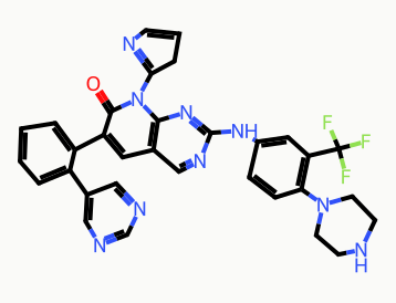 O=c1c(-c2ccccc2-c2cncnc2)cc2cnc(Nc3ccc(N4CCNCC4)c(C(F)(F)F)c3)nc2n1C1=NC=CC1